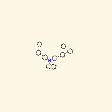 c1ccc(-c2cccc(-c3ccc(N(c4ccc(-c5ccc(-c6ccccc6)c(-c6ccccc6)c5)cc4)c4cccc5ccccc45)cc3)c2)cc1